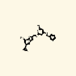 Clc1cc(OCc2ccccc2)cc(OCc2cn3cc(C4CC4)cc(Br)c3n2)n1